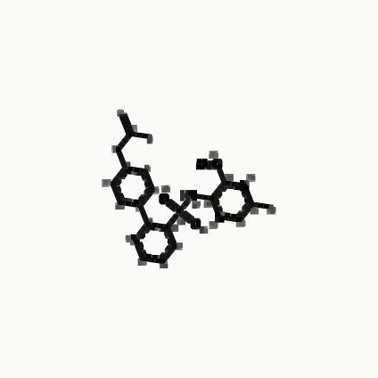 C=C(C)Cc1ccc(-c2ncccc2S(=O)(=O)Nc2ncc(C)nc2OC)cc1